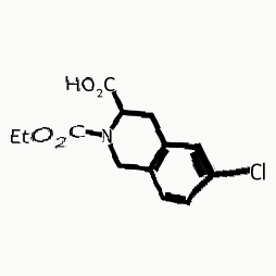 CCOC(=O)N1Cc2ccc(Cl)cc2CC1C(=O)O